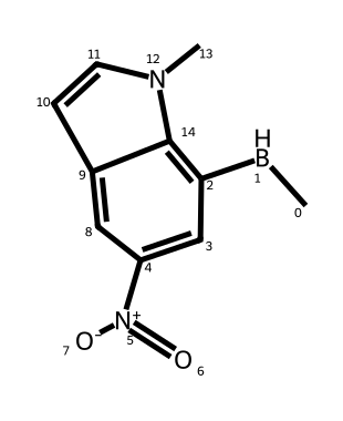 CBc1cc([N+](=O)[O-])cc2ccn(C)c12